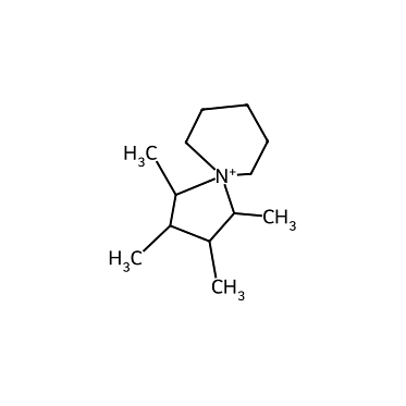 CC1C(C)C(C)[N+]2(CCCCC2)C1C